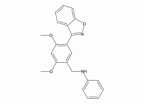 COc1cc(OC)c(-c2noc3ccccc23)cc1CNc1ccccc1